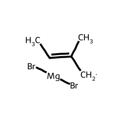 [Br][Mg][Br].[CH2]C(C)=CC